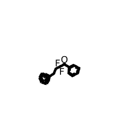 O=C(c1ccccc1)C(F)(F)CC[C]12[CH]3[CH]4[CH]5[CH]1[Fe]45321678[CH]2[CH]1[CH]6[CH]7[CH]28